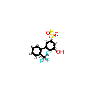 O=[SH](=O)c1cc(O)cc(-c2ccccc2C(F)(F)F)c1